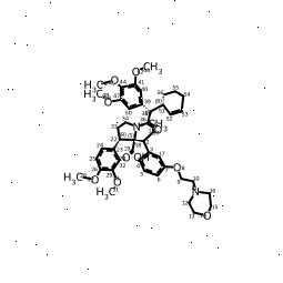 CCC(c1cccc(OCCN2CCOCC2)c1)[C@@]1(C(=O)O)[C@@H](c2ccc(OC)c(OC)c2)CCN1C(=O)[C@H](c1cc(OC)c(OC)c(OC)c1)[C@H]1C=CCCC1